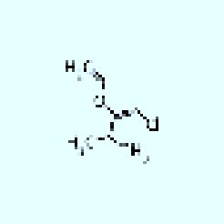 C=COC(=CCl)C(C)C